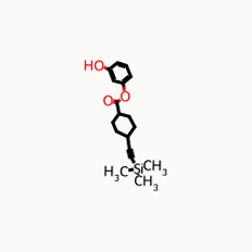 C[Si](C)(C)C#CC1CCC(C(=O)Oc2cccc(O)c2)CC1